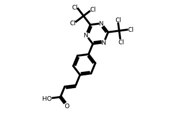 O=C(O)/C=C/c1ccc(-c2nc(C(Cl)(Cl)Cl)nc(C(Cl)(Cl)Cl)n2)cc1